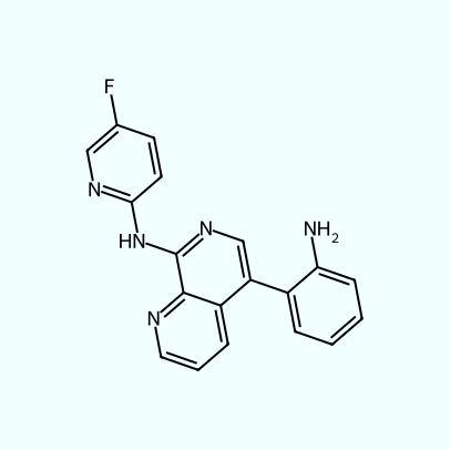 Nc1ccccc1-c1cnc(Nc2ccc(F)cn2)c2ncccc12